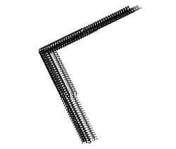 [As-3].[As-3].[As-3].[As-3].[As-3].[As-3].[As-3].[As-3].[As-3].[As-3].[As-3].[As-3].[As-3].[As-3].[As-3].[As-3].[As-3].[As-3].[As-3].[As-3].[As-3].[As-3].[As-3].[As-3].[As-3].[As-3].[As-3].[As-3].[As-3].[As-3].[As-3].[As-3].[As-3].[As-3].[As-3].[As-3].[As-3].[As-3].[As-3].[As-3].[As-3].[As-3].[Ga+3].[Ga+3].[Ga+3].[Ga+3].[Ga+3].[Ga+3].[Ga+3].[Ga+3].[Ga+3].[Ga+3].[Ga+3].[Ga+3].[Ga+3].[Ga+3].[Ga+3].[Ga+3].[Ga+3].[Ga+3].[Ga+3].[Ga+3].[Ga+3].[Ga+3].[Ga+3].[Ga+3].[Ga+3].[Ga+3].[Ga+3].[Ga+3].[Ga+3].[Ga+3].[Ga+3].[Ga+3].[Ga+3].[Ga+3].[Ga+3].[Ga+3].[Ga+3].[Ga+3].[Ga+3].[Ga+3]